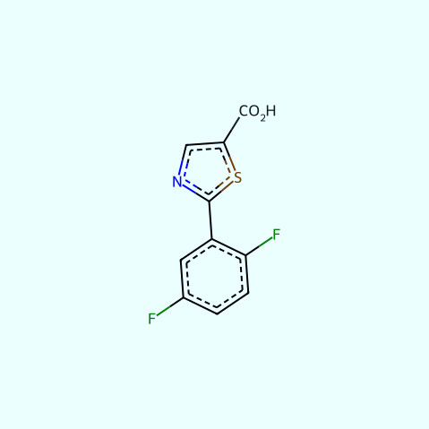 O=C(O)c1cnc(-c2cc(F)ccc2F)s1